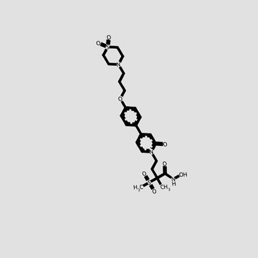 CC(CCn1ccc(-c2ccc(OCCCN3CCS(=O)(=O)CC3)cc2)cc1=O)(C(=O)NO)S(C)(=O)=O